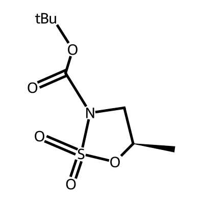 C[C@@H]1CN(C(=O)OC(C)(C)C)S(=O)(=O)O1